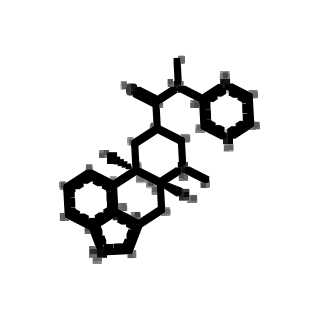 CN(C(=O)C1C[C@@H]2c3cccc4[nH]cc(c34)C[C@H]2N(C)C1)c1cnccn1